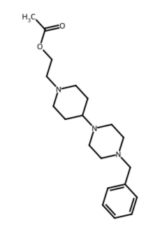 CC(=O)OCCN1CCC(N2CCN(Cc3ccccc3)CC2)CC1